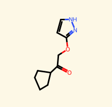 O=C(COc1cc[nH]n1)C1CCCC1